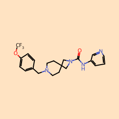 O=C(Nc1cccnc1)N1CC2(CCN(Cc3ccc(OC(F)(F)F)cc3)CC2)C1